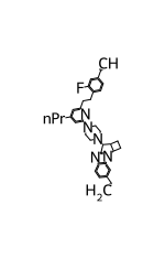 C#Cc1ccc(CCc2cc(CCC)cc(N3CCN(C4c5nc6ccc(C=C)cc6n5C5CCC45)CC3)n2)c(F)c1